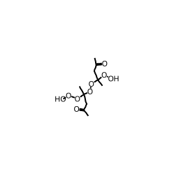 CC(=O)CC(C)(OO)OOC(C)(CC(C)=O)OOO